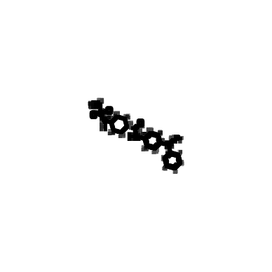 CC(C)N(c1ccccc1)c1ccc(NC(=O)[C@H]2CC[C@H](NS(=O)(=O)C(C)(C)C)CC2)cc1